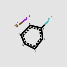 BrI.Fc1ccccc1